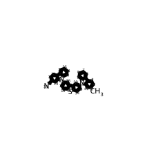 Cc1ccc2c3ccccc3n(-c3ccc4sc5ccc(-n6c7ccccc7c7ccc(C#N)cc76)cc5c4c3)c2c1